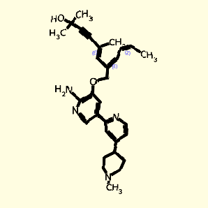 C\C=C/C=C(\C=C(/C)C#CC(C)(C)O)COc1cc(-c2cc(C3CCN(C)CC3)ccn2)cnc1N